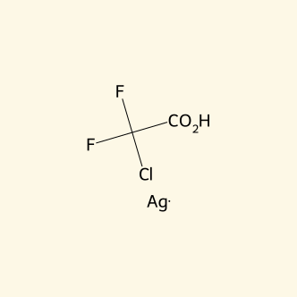 O=C(O)C(F)(F)Cl.[Ag]